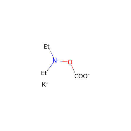 CCN(CC)OC(=O)[O-].[K+]